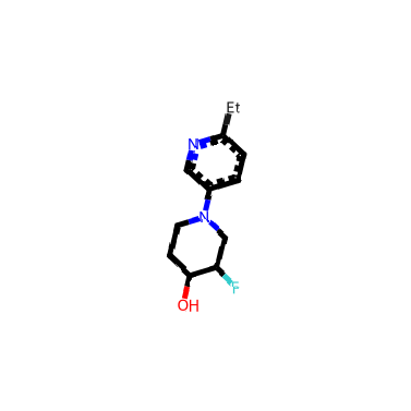 CCc1ccc(N2CCC(O)C(F)C2)cn1